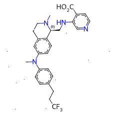 CN(c1ccc(CCC(F)(F)F)cc1)c1ccc2c(c1)CCN(C)[C@H]2CNc1cnccc1C(=O)O